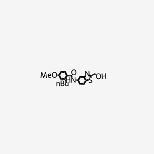 CCCCc1cc(OC)ccc1C(=O)Nc1ccc2sc(CO)nc2c1